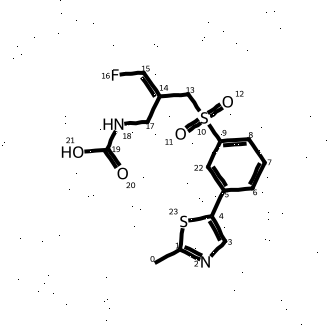 Cc1ncc(-c2cccc(S(=O)(=O)C/C(=C/F)CNC(=O)O)c2)s1